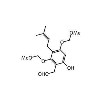 COCOc1cc(O)c(CC=O)c(OCOC)c1CC=C(C)C